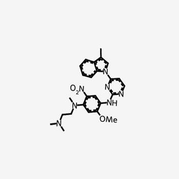 COc1cc(N(C)CCN(C)C)c([N+](=O)[O-])cc1Nc1nccc(-n2cc(C)c3ccccc32)n1